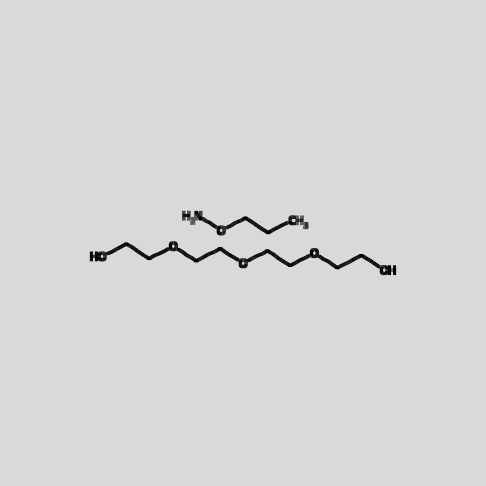 CCCON.OCCOCCOCCOCCO